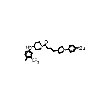 Cc1ccc(NC2CCN(C(=O)CCCC3CCN(c4ccc(C(C)(C)C)cc4)CC3)CC2)cc1C(F)(F)F